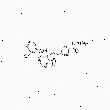 CCCOC(=O)c1ccc(-c2cc3c(Nc4cccc(Cl)c4)ncnc3[nH]2)cc1